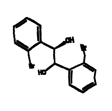 OC(c1ccccc1Br)[C@H](O)c1ccccc1Br